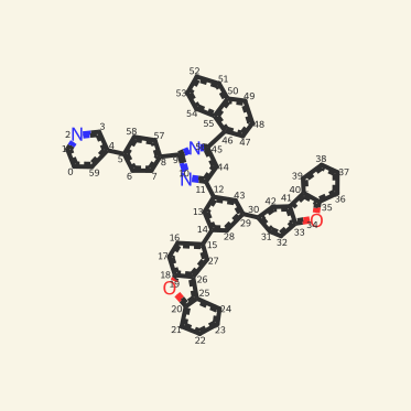 c1cncc(-c2ccc(-c3nc(-c4cc(-c5ccc6oc7ccccc7c6c5)cc(-c5ccc6oc7ccccc7c6c5)c4)cc(-c4cccc5ccccc45)n3)cc2)c1